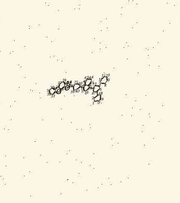 c1ccc(-c2cc(-c3ccccc3)cc(-c3ccc(-c4ccc(-c5nc6ccc7c8ccccc8oc7c6o5)cc4)c4ccccc34)c2)cc1